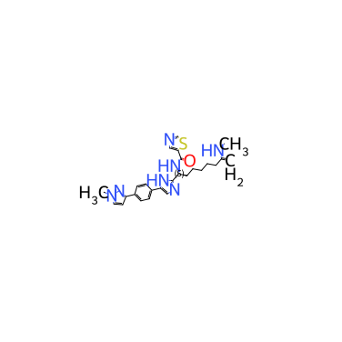 C=C(CCCCC[C@H](NC(=O)c1cncs1)c1ncc(-c2ccc(-c3ccn(C)n3)cc2)[nH]1)NC